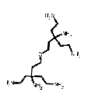 NCCC(N)(CCN)CCOCCC(N)(CCN)CCN